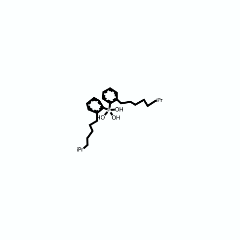 CC(C)CCCCCc1ccccc1P(O)(O)(O)c1ccccc1CCCCCC(C)C